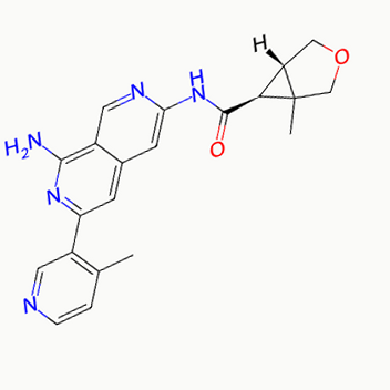 Cc1ccncc1-c1cc2cc(NC(=O)[C@H]3[C@@H]4COCC43C)ncc2c(N)n1